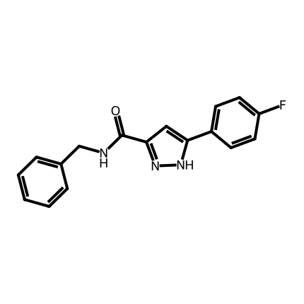 O=C(NCc1ccccc1)c1cc(-c2ccc(F)cc2)[nH]n1